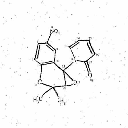 CC1(C)Oc2ccc([N+](=O)[O-])cc2C2(n3ccccc3=O)OC12